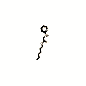 CCCCCCOC(=O)CNc1ccccn1